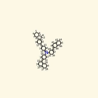 CC1(C)c2ccccc2-c2ccc(-c3ccc(N(c4ccc(-c5cccc6ccccc56)cc4)c4cccc(-c5ccc6ccccc6c5)c4)cc3)cc21